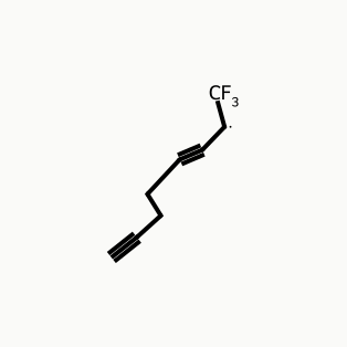 C#CCCC#C[CH]C(F)(F)F